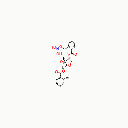 CC(=O)c1ccccc1C(=O)O[C@H]1CO[C@H]2[C@@H]1OC[C@H]2OC(=O)c1ccccc1CON(O)O